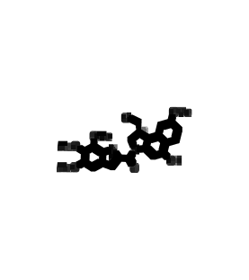 COc1ccc2c(O)cc3c(c2c1)[C@H](CCl)CN3C(=O)c1cc2cc(OC)c(OC)c(OC)c2[nH]1